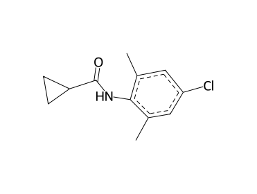 Cc1cc(Cl)cc(C)c1NC(=O)C1CC1